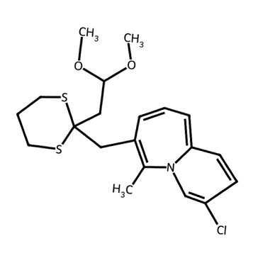 COC(CC1(CC2=C(C)N3C=C(Cl)C=CC3=CC=C2)SCCCS1)OC